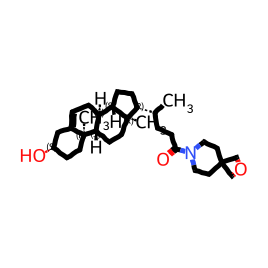 CC(CCC(=O)N1CCC2(CC1)COC2)[C@H]1CC[C@H]2[C@@H]3CC=C4C[C@@H](O)CC[C@]4(C)[C@H]3CC[C@]12C